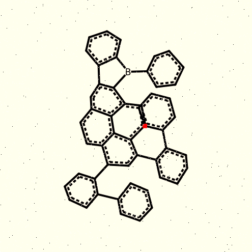 c1ccc(B2c3ccccc3-c3cc4ccc5c(-c6ccccc6-c6ccccc6)cc(-c6ccccc6-c6ccccc6)c6ccc(c32)c4c56)cc1